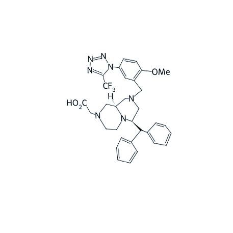 COc1ccc(-n2nnnc2C(F)(F)F)cc1CN1C[C@@H]2CN(CC(=O)O)CCN2[C@H](C(c2ccccc2)c2ccccc2)C1